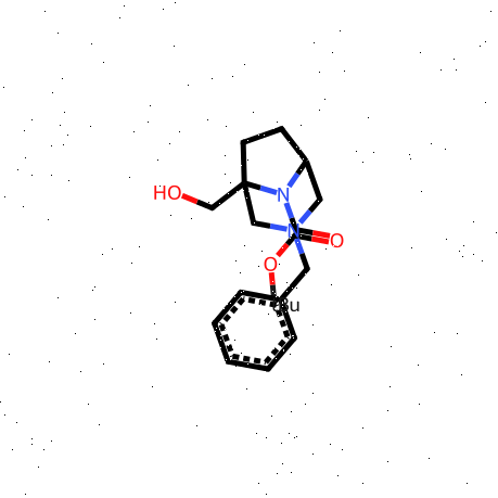 CC(C)(C)OC(=O)N1C2CCC1(CO)CN(Cc1ccccc1)C2